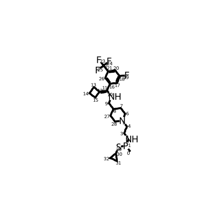 CP(NCCN1CCC(CNC(=C2CCC2)c2cc(F)cc(C(F)(F)F)c2)CC1)SC1CC1